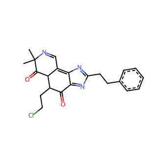 CC1(C)N=CC2=C3N=C(CCc4ccccc4)N=C3C(=O)C(CCCl)C2C1=O